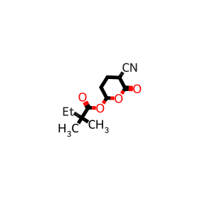 CCC(C)(C)C(=O)OC1CCC(C#N)C(=O)O1